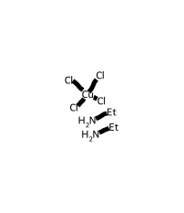 CCN.CCN.[Cl][Cu]([Cl])([Cl])[Cl]